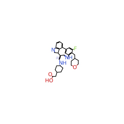 Cc1cc(-c2cccc3c2C(/C(C=N)=C/NC2CCC(CC(=O)O)CC2)C=N3)cc(F)c1CC1CCOCC1